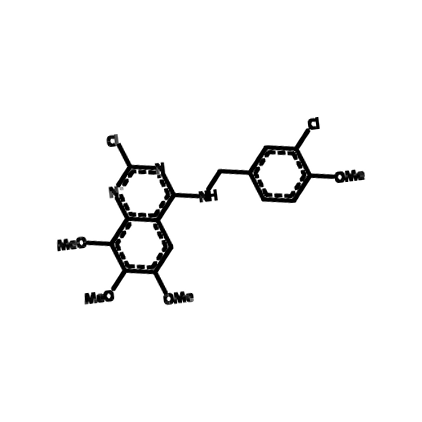 COc1ccc(CNc2nc(Cl)nc3c(OC)c(OC)c(OC)cc23)cc1Cl